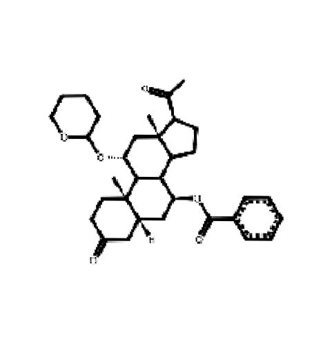 CC(=O)C1CCC2C3C([C@H](OC4CCCCO4)C[C@]12C)[C@@]1(C)CCC(=O)C[C@H]1C[C@@H]3OC(=O)c1ccccc1